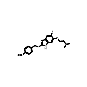 CN(C)CCOc1cc2[nH]c(SCc3ccc(C=O)cc3)nc2cc1F